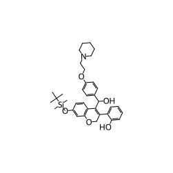 CC(C)(C)[Si](C)(C)Oc1ccc2c(c1)OCC(c1ccccc1O)=C2C(O)c1ccc(OCCN2CCCCC2)cc1